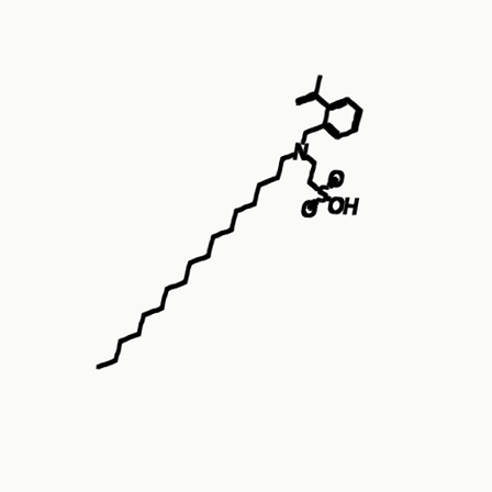 C=C(C)c1ccccc1CN(CCCCCCCCCCCCCCCCC)CCS(=O)(=O)O